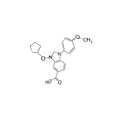 COc1ccc(N2CN(OC3CCCC3)c3cc(C(=O)O)ccc32)cc1